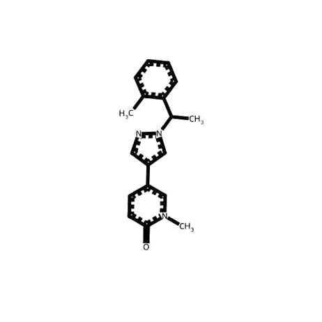 Cc1ccccc1C(C)n1cc(-c2ccc(=O)n(C)c2)cn1